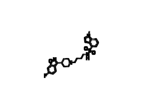 Cn1ccc2c(S(=O)(=O)NCCCCN3CCC(c4noc5cc(F)ccc45)CC3)cccc21